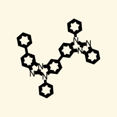 c1ccc(-c2ccc3nc4n(-c5ccccc5)c5ccc(-c6ccc7c(c6)n6c8ccccc8nc6n7-c6ccccc6)cc5n4c3c2)cc1